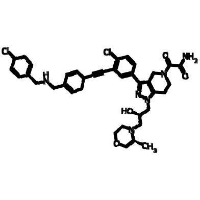 C[C@H]1COCCN1C[C@@H](O)Cn1nc(-c2ccc(Cl)c(C#CC3C=CC(CNCC4=CCC(Cl)C=C4)=CC3)c2)c2c1CCN(C(=O)C(N)=O)C2